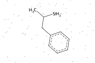 CC([SiH2])Cc1ccccc1